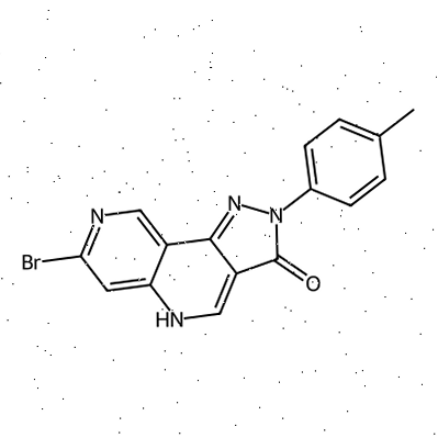 Cc1ccc(-n2nc3c4cnc(Br)cc4[nH]cc-3c2=O)cc1